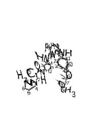 C=C(Cn1cccn1)C(=O)Nc1cccc(Nc2nc(Nc3ccc(OCCOC)cc3)ncc2F)c1